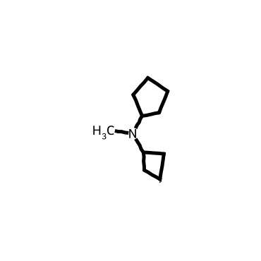 CN(C1C[CH]C1)C1CCCC1